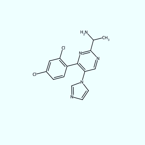 CC(N)c1ncc(-n2ccnc2)c(-c2ccc(Cl)cc2Cl)n1